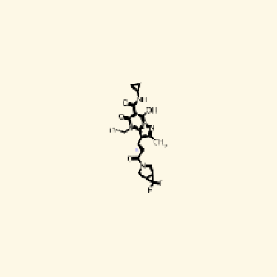 Cc1nn2c(O)c(C(=O)NC3CC3)c(=O)n(CC(C)C)c2c1/C=C/C(=O)N1CC2C(C1)C2(F)F